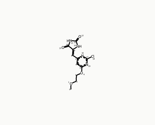 COCCOc1cc(/C=C2\NC(=O)NC2=O)nc(Cl)n1